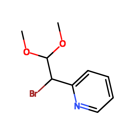 COC(OC)C(Br)c1ccccn1